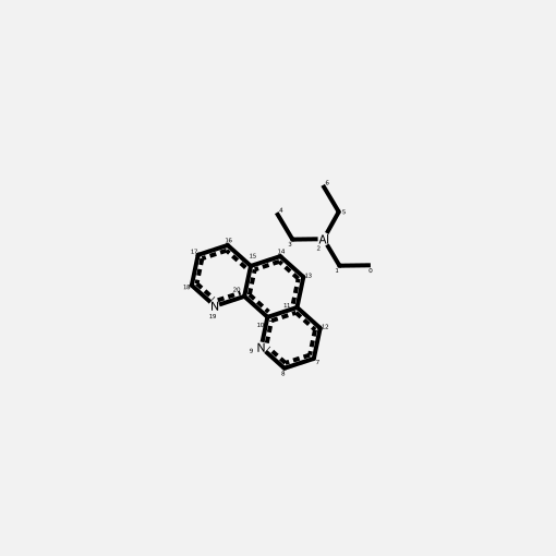 C[CH2][Al]([CH2]C)[CH2]C.c1cnc2c(c1)ccc1cccnc12